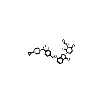 C[C@H](c1ccc(COc2cccc3c2CN([C@H]2CCC(=O)N(OC=O)C2=O)C3=O)cc1)N1CCN(C2CC2)CC1